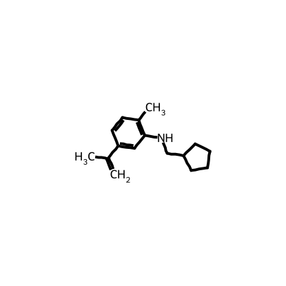 C=C(C)c1ccc(C)c(NCC2CCCC2)c1